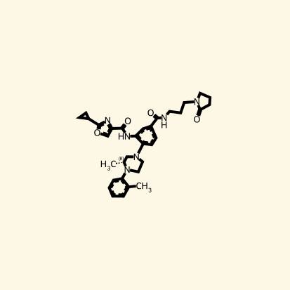 Cc1ccccc1N1CCN(c2ccc(C(=O)NCCCN3CCCC3=O)cc2NC(=O)c2coc(C3CC3)n2)C[C@H]1C